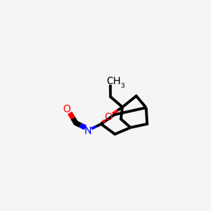 CCC12CC3CC(C1)CC(N=C=O)(C3)O2